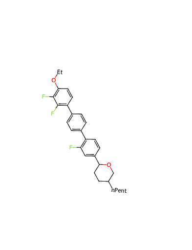 CCCCCC1CCC(c2ccc(-c3ccc(-c4ccc(OCC)c(F)c4F)cc3)c(F)c2)OC1